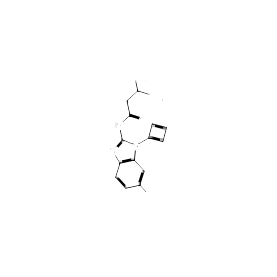 O=C(CC(C(F)(F)F)C(F)(F)F)Nc1nc2ccc(C(F)(F)F)cc2n1C1=CC=C1